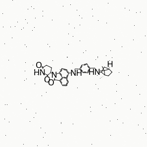 CC1(C)[C@@H]2CC[C@@]1(C)[C@@H](NCc1ccc(CNc3ccc4c5c(cccc35)C(=O)N4C3CCC(=O)NC3=O)cc1)C2